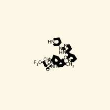 Cc1ccc2c(NS(=O)(=O)C[C@H](C)C(F)(F)F)c(F)ccc2c1Oc1ncccc1-c1ccnc(N[C@H]2CCCNC2)n1